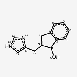 OC1c2ccccc2CC1Cc1c[nH]cn1